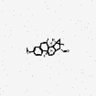 COc1ccc2c(c1)C[C@@H](C)[C@H]1[C@H]3[C@@H]4C[C@@H]4[C@@H](C=O)[C@@]3(C)CC[C@H]21